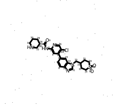 O=C(Nc1cc(-c2ccc3ncn(CC4CCS(=O)(=O)CC4)c3c2)c(Cl)cn1)[C@@H]1CCCNC1